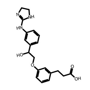 O=C(O)CCc1cccc(OCC(O)c2cccc(NC3=NCCN3)c2)c1